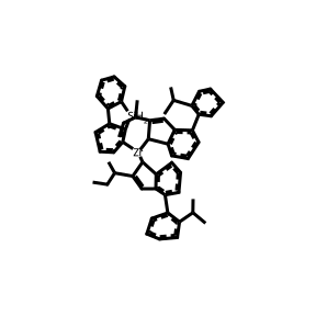 CCC(C)C1=Cc2c(-c3ccccc3C(C)C)cccc2[CH]1[Zr]([c]1cccc2c1[SiH2]c1ccccc1-2)[CH]1C(C(C)CC)=Cc2c(-c3ccccc3C(C)C)cccc21